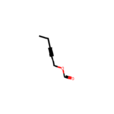 CCC#CCOC=O